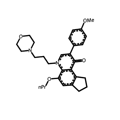 CCCOc1cc2c(c3c(=O)c(-c4ccc(OC)cc4)cn(CCCN4CCOCC4)c13)CCC2